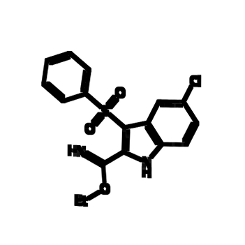 CCOC(=N)c1[nH]c2ccc(Cl)cc2c1S(=O)(=O)c1ccccc1